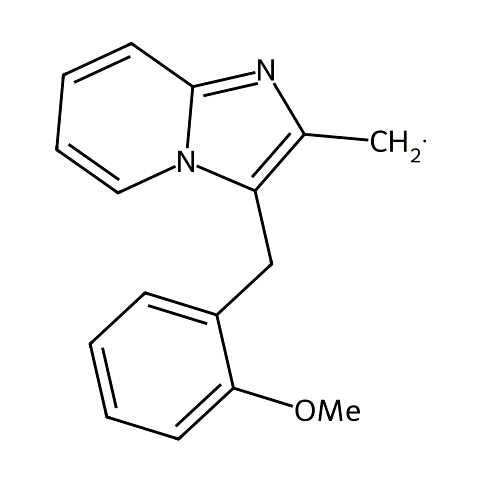 [CH2]c1nc2ccccn2c1Cc1ccccc1OC